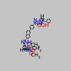 COC(=O)N[C@H](C(=O)N1[C@@H]2C[C@@H]2C[C@H]1c1ncc(-c2ccc3cc(-c4ccc(-c5cnc(C6C[C@@H]7C[C@]7(Cc7ccccc7)N6C(=O)O)[nH]5)cc4)ccc3c2)[nH]1)C(C)C